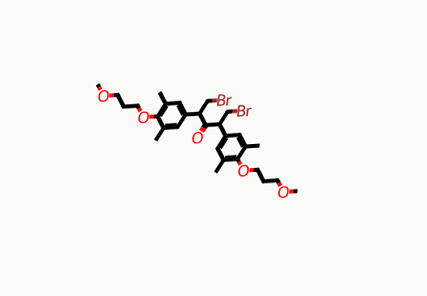 COCCCOc1c(C)cc(C(CBr)C(=O)C(CBr)c2cc(C)c(OCCCOC)c(C)c2)cc1C